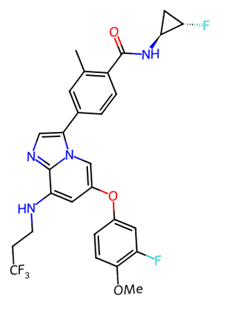 COc1ccc(Oc2cc(NCCC(F)(F)F)c3ncc(-c4ccc(C(=O)N[C@H]5C[C@@H]5F)c(C)c4)n3c2)cc1F